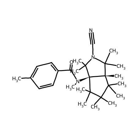 Cc1ccc(C(=O)N(C)[C@@]23C(C)(C)N(C#N)C(C)(C)[C@]2(C)C(C)(C)C(C)(C)C3(C)C)cc1